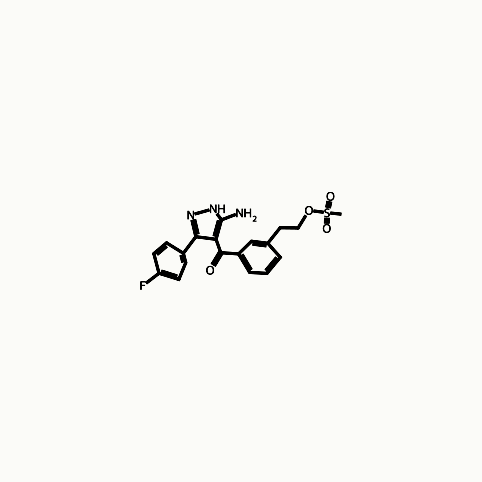 CS(=O)(=O)OCCc1cccc(C(=O)c2c(-c3ccc(F)cc3)n[nH]c2N)c1